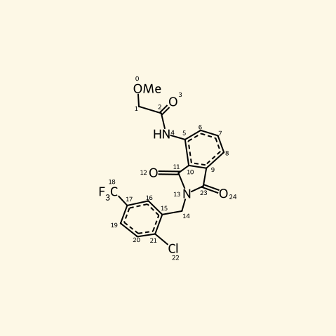 COCC(=O)Nc1cccc2c1C(=O)N(Cc1cc(C(F)(F)F)ccc1Cl)C2=O